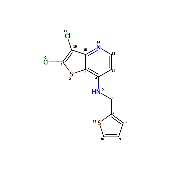 Clc1sc2c(NCc3cccs3)ccnc2c1Cl